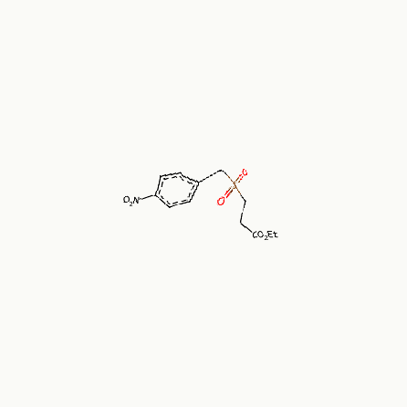 CCOC(=O)CCS(=O)(=O)Cc1ccc([N+](=O)[O-])cc1